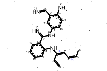 C=C/C(=C\C=C/C)Nc1ccccc1C(=N)Nc1ccc(N)c(C=N)c1